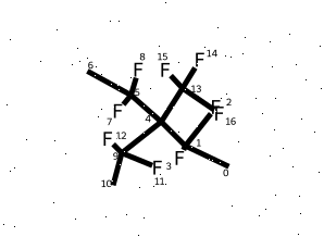 CC(F)(F)C(C(C)(F)F)(C(C)(F)F)C(F)(F)F